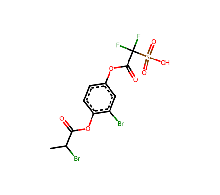 CC(Br)C(=O)Oc1ccc(OC(=O)C(F)(F)S(=O)(=O)O)cc1Br